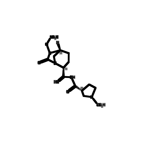 N=C(NC(=O)[C@@H]1CCN(C(=O)O)C1)[C@@H]1CC[C@@H]2CN1C(=O)N2OS(=O)(=O)O